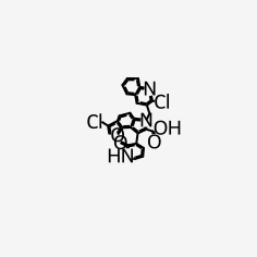 O=C(O)c1c(-c2ccc[nH]c2=O)c2c3occ(Cl)c3ccc2n1Cc1cc2ccccc2nc1Cl